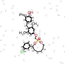 Cc1cc(OCP2(=O)OCCCCCC(c3cccc(Cl)c3)O2)cc(C)c1Cc1ccc(O)c(C(C)C)c1